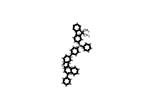 CC1(C)c2ccccc2-c2ccc(N(c3ccccc3)c3ccc(-c4ccc5oc6cc(-c7ccccc7)c7ccccc7c6c5c4)cc3)cc21